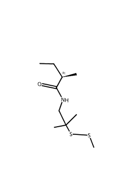 CC[C@@H](C)C(=O)NCC(C)(C)SSC